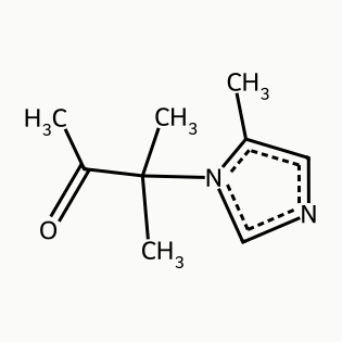 CC(=O)C(C)(C)n1cncc1C